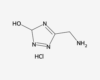 Cl.NCC1=NC(O)N=N1